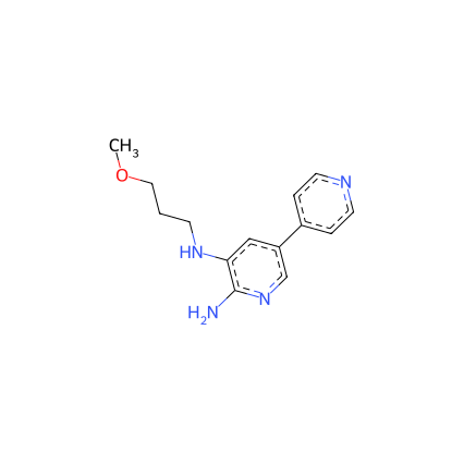 COCCCNc1cc(-c2ccncc2)cnc1N